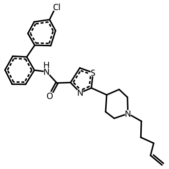 C=CCCCN1CCC(c2nc(C(=O)Nc3ccccc3-c3ccc(Cl)cc3)cs2)CC1